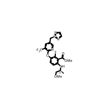 COC[C@H](C)Nc1ccc(Oc2ncc(Cn3nccn3)cc2C(F)(F)F)c(F)c1C(=O)OC